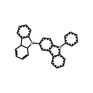 C1=CC2c3ccccc3N(c3ccc4c(c3)c3ccccc3n4-c3ccccc3)C2C=C1